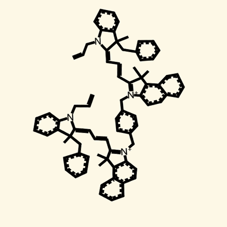 C=CCN1/C(=C/C=C/C2=[N+](Cc3ccc(C[N+]4=C(/C=C/C=C5/N(CC=C)c6ccccc6C5(C)Cc5ccccc5)C(C)(C)c5c4ccc4ccccc54)cc3)c3ccc4ccccc4c3C2(C)C)C(C)(Cc2ccccc2)c2ccccc21